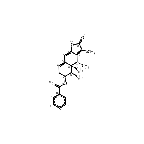 CC1=C2C(=CC3=CC[C@H](OC(=O)c4ccccc4)[C@H](C)[C@@]3(C)[C@H]2C)OC1=O